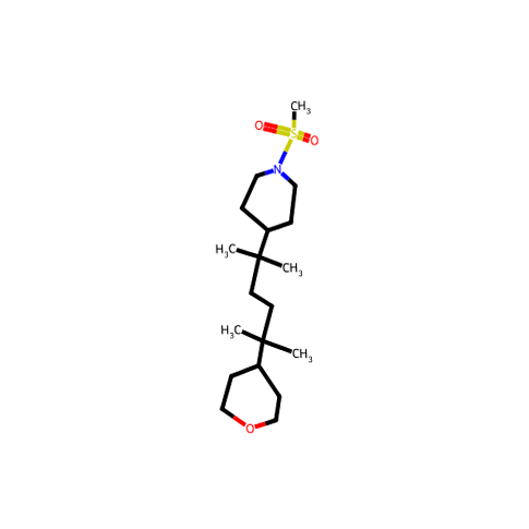 CC(C)(CCC(C)(C)C1CCN(S(C)(=O)=O)CC1)C1CCOCC1